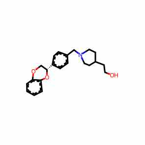 OCCC1CCN(Cc2ccc([C@H]3COc4ccccc4O3)cc2)CC1